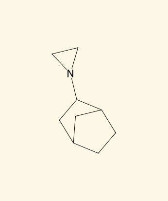 C1CC2CC1CC2N1CC1